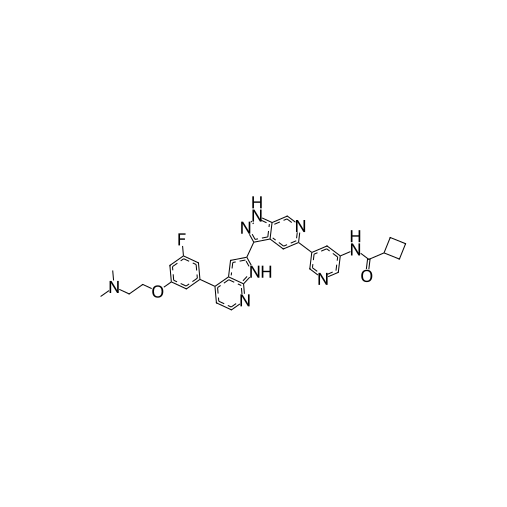 CN(C)CCOc1cc(F)cc(-c2ccnc3[nH]c(-c4n[nH]c5cnc(-c6cncc(NC(=O)C7CCC7)c6)cc45)cc23)c1